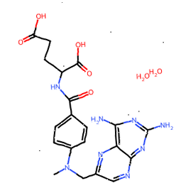 CN(Cc1cnc2nc(N)nc(N)c2n1)c1ccc(C(=O)NC(CCC(=O)O)C(=O)O)cc1.O.O